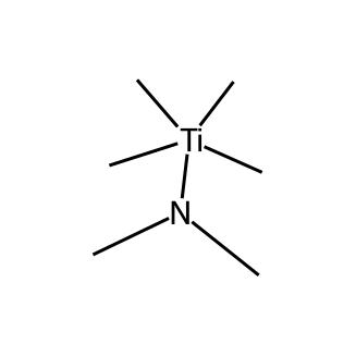 C[N](C)[Ti]([CH3])([CH3])([CH3])[CH3]